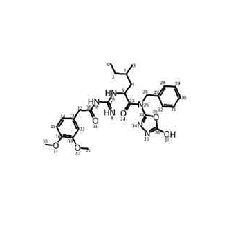 CCC(C)CC(NC(=N)NC(=O)Cc1ccc(OC)c(OC)c1)C(=O)N(Cc1ccccc1)c1nnc(O)o1